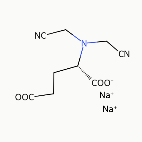 N#CCN(CC#N)[C@@H](CCC(=O)[O-])C(=O)[O-].[Na+].[Na+]